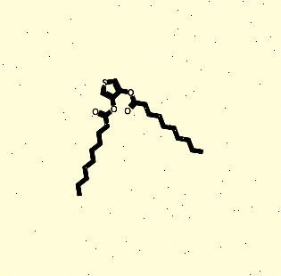 CCCCCCCCCC(=O)Oc1cscc1OC(=O)CCCCCCCCC